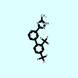 Cc1nc(-c2cccc(-c3ccc(C(F)(F)F)cc3C(F)(F)F)c2)n[nH]1